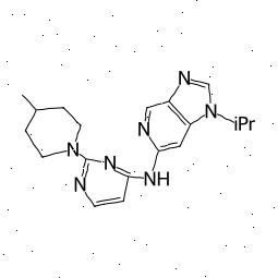 CC1CCN(c2nccc(Nc3cc4c(cn3)ncn4C(C)C)n2)CC1